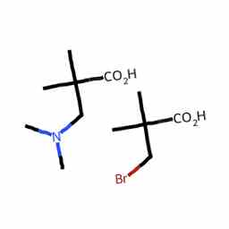 CC(C)(CBr)C(=O)O.CN(C)CC(C)(C)C(=O)O